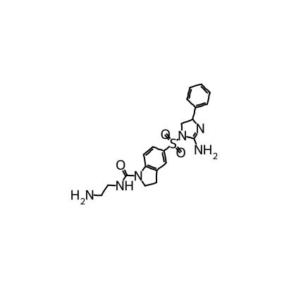 NCCNC(=O)N1CCc2cc(S(=O)(=O)N3CC(c4ccccc4)N=C3N)ccc21